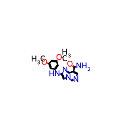 COc1cc(Nc2cn3cncc(C(N)=O)c3n2)cc(OC)c1